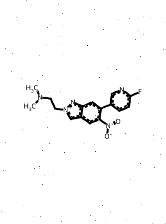 CN(C)CCn1cc2cc([N+](=O)[O-])c(-c3ccc(F)nc3)cc2n1